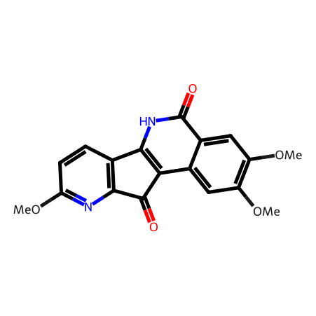 COc1ccc2c(n1)C(=O)c1c-2[nH]c(=O)c2cc(OC)c(OC)cc12